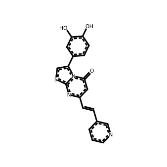 O=c1cc(/C=C/c2cccnc2)nc2scc(-c3ccc(O)c(O)c3)n12